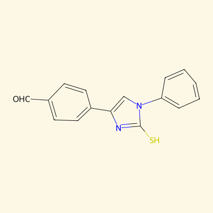 O=Cc1ccc(-c2cn(-c3ccccc3)c(S)n2)cc1